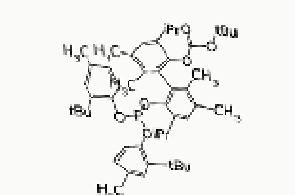 Cc1ccc(OP(Oc2ccc(C)cc2C(C)(C)C)Oc2c(C(C)C)cc(C)c(C)c2-c2c(C)c(C)cc(C(C)C)c2OC(=O)OC(C)(C)C)c(C(C)(C)C)c1